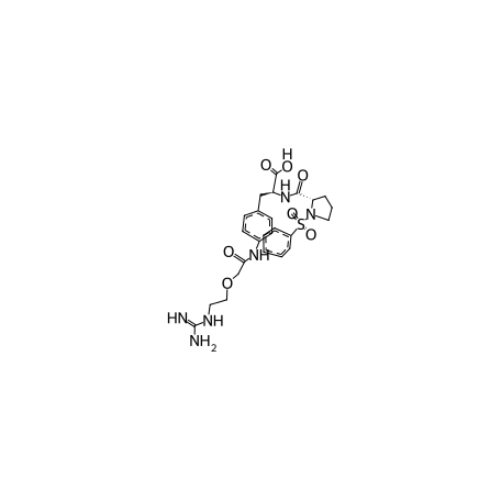 N=C(N)NCCOCC(=O)Nc1ccc(C[C@H](NC(=O)[C@@H]2CCCN2S(=O)(=O)c2ccccc2)C(=O)O)cc1